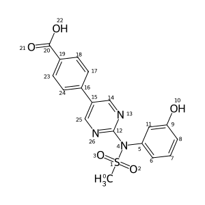 CS(=O)(=O)N(c1cccc(O)c1)c1ncc(-c2ccc(C(=O)O)cc2)cn1